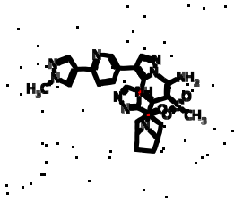 Cn1cc(-c2ccc(-c3cnn4c(N)c(S(C)(=O)=O)c(C5CC6CCC(C5)N6C(=O)c5nnc[nH]5)nc34)cn2)cn1